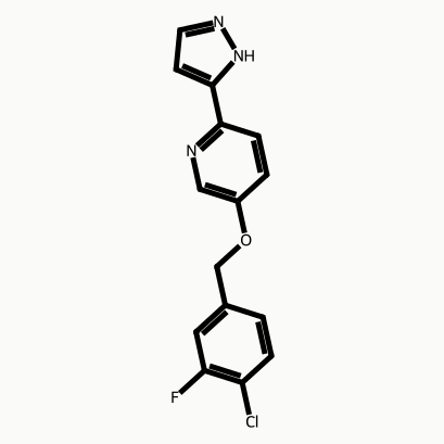 Fc1cc(COc2ccc(-c3ccn[nH]3)nc2)ccc1Cl